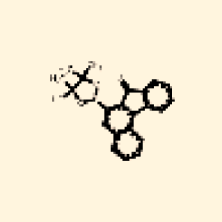 CC1(C)OB(c2cc3ccccc3c3c2C(=O)c2ccccc2-3)OC1(C)C